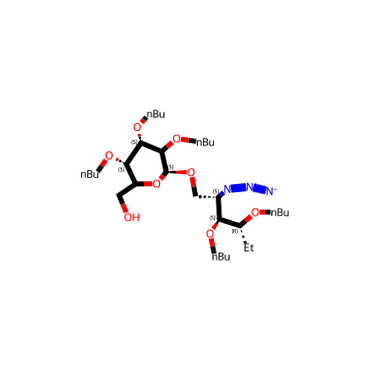 CCCCOC1[C@@H](OC[C@H](N=[N+]=[N-])[C@H](OCCCC)[C@@H](CC)OCCCC)OC(CO)[C@H](OCCCC)[C@@H]1OCCCC